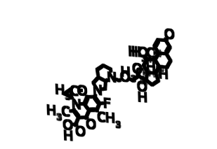 COc1c(N2CC3CCCN(COCC(=O)[C@@]4(O)CC[C@H]5[C@@H]6CCC7=CC(=O)C=C[C@]7(C)C6[C@@H](O)C[C@@]54C)C3C2)c(F)c(C)c2c(=O)c(C(=O)O)c(C)n(C3CC3)c12